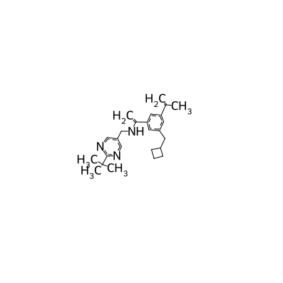 C=C(C)c1cc(CC2CCC2)cc(C(=C)NCc2cnc(C(C)(C)C)nc2)c1